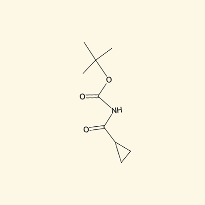 CC(C)(C)OC(=O)NC(=O)C1CC1